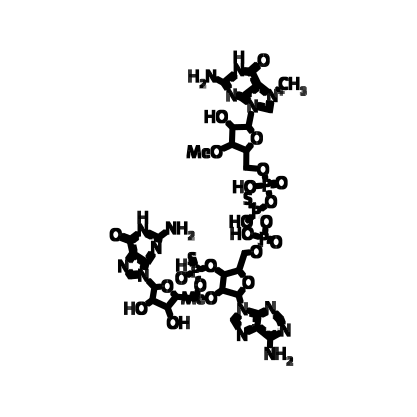 COC1C(COP(=O)(O)OP(O)(=S)OP(=O)(O)OCC2OC(n3cnc4c(N)ncnc43)C(OC)C2OP(O)(=S)OCC2OC(n3cnc4c(=O)[nH]c(N)nc43)C(O)C2O)OC(n2c[n+](C)c3c(=O)[nH]c(N)nc32)C1O